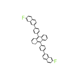 Fc1ccc2ccc(-c3ccc(-c4c5c(c(-c6ccc(-c7ccc8ccc(F)cc8c7)cc6)c6ccccc46)CCC=C5)cc3)cc2c1